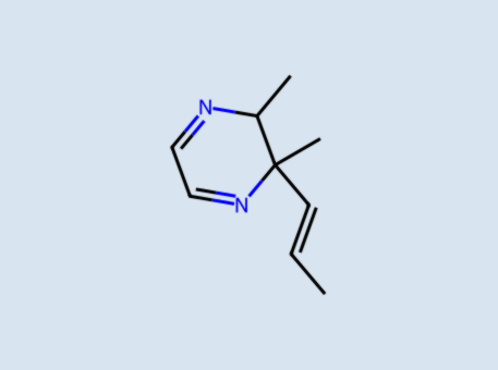 CC=CC1(C)N=CC=NC1C